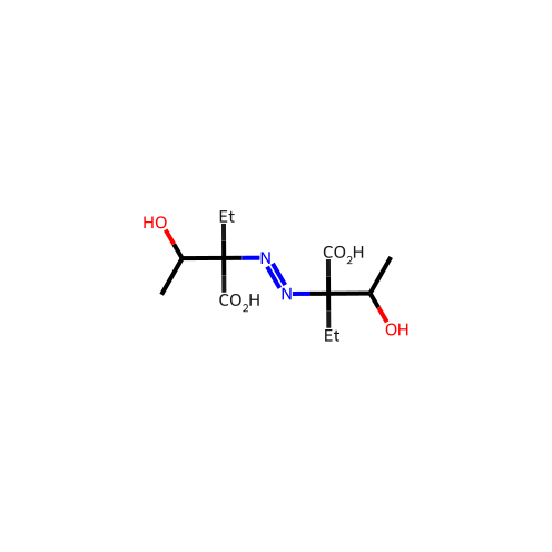 CCC(/N=N/C(CC)(C(=O)O)C(C)O)(C(=O)O)C(C)O